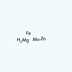 [Fe].[MgH2].[Mn].[Zn]